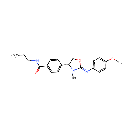 CCCCN1C(=Nc2ccc(OC(F)(F)F)cc2)OCC1c1ccc(C(=O)NCCC(=O)O)cc1